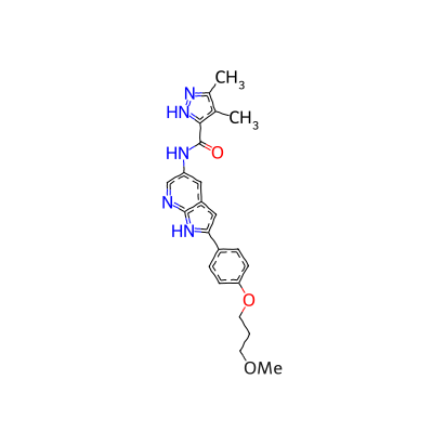 COCCCOc1ccc(-c2cc3cc(NC(=O)c4[nH]nc(C)c4C)cnc3[nH]2)cc1